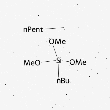 CCCCCC.CCCC[Si](OC)(OC)OC